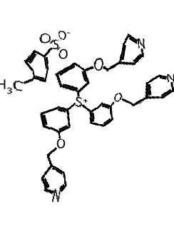 Cc1ccc(S(=O)(=O)[O-])cc1.c1cc(OCc2ccncc2)cc([S+](c2cccc(OCc3ccncc3)c2)c2cccc(OCc3ccncc3)c2)c1